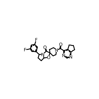 O=C(c1ncnc2c1CCC2)N1CCC2(CC1)OC1CCC(c3cc(F)cc(F)c3)N1C2=O